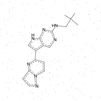 CC(C)(C)CNc1ncc2c(-c3ccn4nccc4n3)c[nH]c2n1